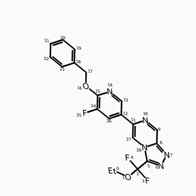 CCOC(F)(F)c1nnc2cnc(-c3cnc(OCc4ccccc4)c(F)c3)cn12